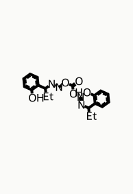 CCC(N=NOC(=O)ON=NC(CC)c1ccccc1O)c1ccccc1O